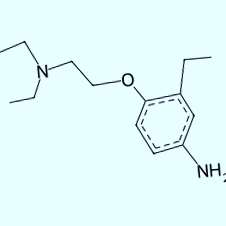 CCc1cc(N)ccc1OCCN(CC)CC